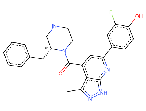 Cc1n[nH]c2nc(-c3ccc(O)c(F)c3)cc(C(=O)N3CCNC[C@H]3Cc3ccccc3)c12